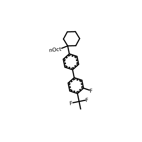 CCCCCCCCC1(c2ccc(-c3ccc(C(C)(F)F)c(F)c3)cc2)CCCCC1